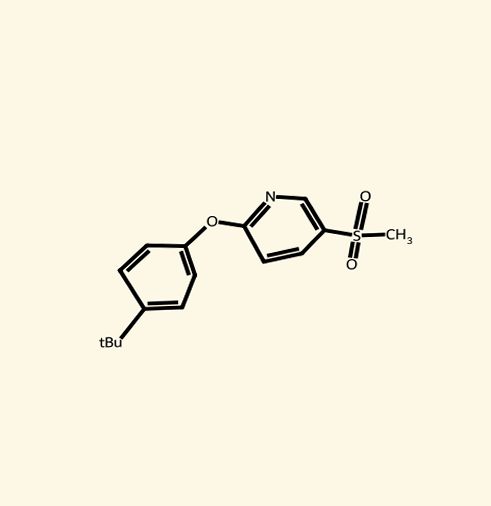 CC(C)(C)c1ccc(Oc2ccc(S(C)(=O)=O)cn2)cc1